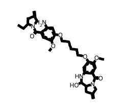 C=C1CC(CC)N(C(=O)c2cc(OC)c(OCCCCCOc3cc4c(cc3OC)C(=O)N3CC(=C)CC3C(O)N4)cc2N)C1